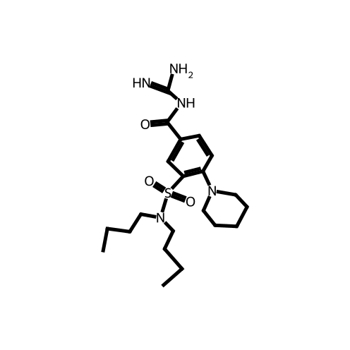 CCCCN(CCCC)S(=O)(=O)c1cc(C(=O)NC(=N)N)ccc1N1CCCCC1